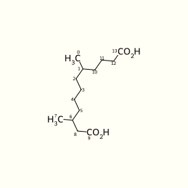 CC(CCCCC(C)CC(=O)O)CCCC(=O)O